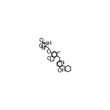 Cc1cc(OCc2noc(=O)[nH]2)c2c(c1Cc1ccc(O)c(C3CCCCC3)n1)CCO2